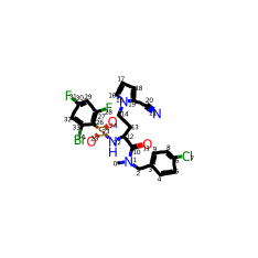 CN(Cc1ccc(Cl)cc1)C(=O)C(CCn1cccc1C#N)NS(=O)(=O)c1c(F)cc(F)cc1Br